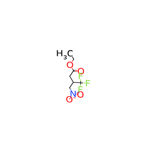 CCOC(=O)CC(C[N+](=O)[O-])C(F)(F)F